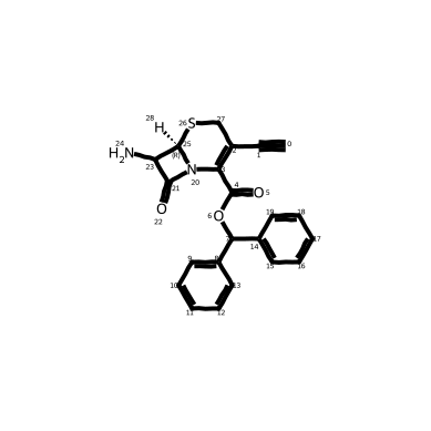 C#CC1=C(C(=O)OC(c2ccccc2)c2ccccc2)N2C(=O)C(N)[C@H]2SC1